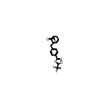 O=C1C2CCC(CC2)N1Cc1ccc(-c2noc(C(F)(F)F)n2)cc1